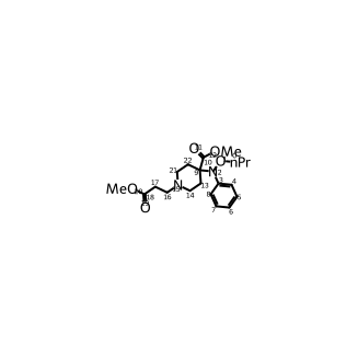 CCCON(c1ccccc1)C1(C(=O)OC)CCN(CCC(=O)OC)CC1